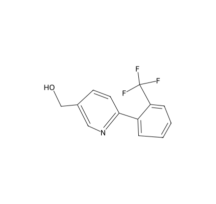 OCc1ccc(-c2ccccc2C(F)(F)F)nc1